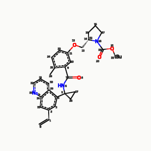 C=Cc1cc(C2(NC(=O)c3cc(OC[C@@H]4CCCN4C(=O)OC(C)(C)C)ccc3C)CC2)c2cccnc2c1